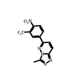 Cc1nnc2ccc(-c3ccc([N+](=O)[O-])c(C(F)(F)F)c3)nn12